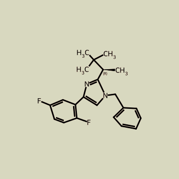 C[C@@H](c1nc(-c2cc(F)ccc2F)cn1Cc1ccccc1)C(C)(C)C